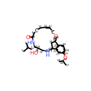 CC(C)C[C@@H]1NC(=O)CCC/C=C\CO[C@@H]2C[C@H](NC[C@H]1O)c1cc(OC(C)C)ccc12